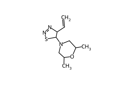 C=CC1N=NSC1N1CC(C)OC(C)C1